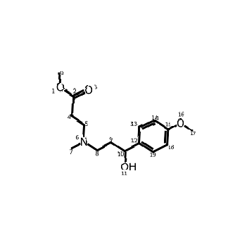 COC(=O)CCN(C)CCC(O)c1ccc(OC)cc1